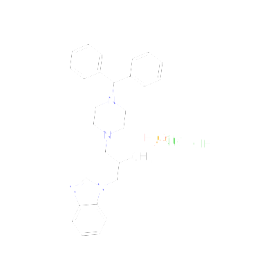 CC(CN1CCN(C(c2ccccc2)c2ccccc2)CC1)Cn1cnc2ccccc21.Cl.Cl.Cl.O